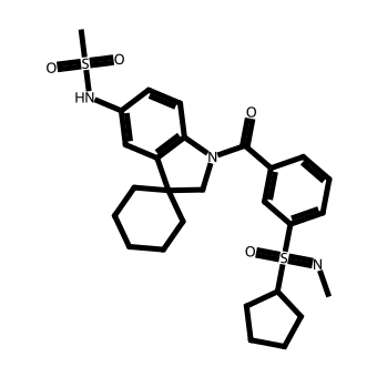 CN=S(=O)(c1cccc(C(=O)N2CC3(CCCCC3)c3cc(NS(C)(=O)=O)ccc32)c1)C1CCCC1